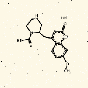 COc1ccc2c(CC3CNCCN3C(=S)S)cc(=O)oc2c1.Cl